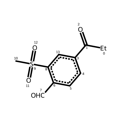 CCC(=O)c1ccc(C=O)c(S(C)(=O)=O)c1